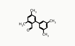 Cc1cc(C)cc(-c2cc(C)cc(C)c2C=O)c1